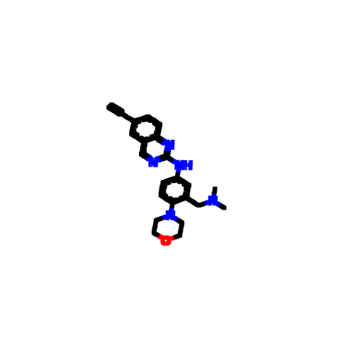 C#Cc1ccc2nc(Nc3ccc(N4CCOCC4)c(CN(C)C)c3)ncc2c1